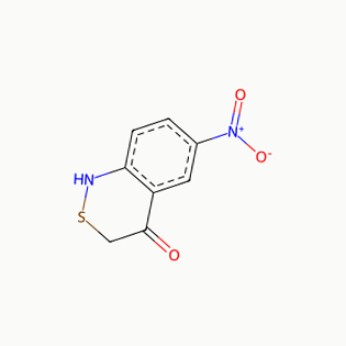 O=C1CSNc2ccc([N+](=O)[O-])cc21